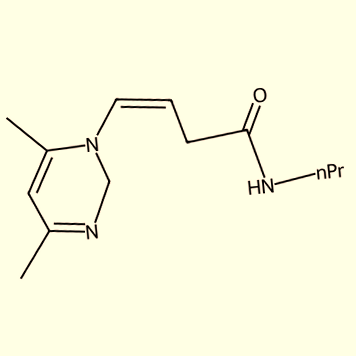 CCCNC(=O)C/C=C\N1CN=C(C)C=C1C